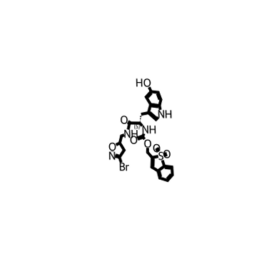 O=C(N[C@@H](Cc1c[nH]c2ccc(O)cc12)C(=O)NCC1CC(Br)=NO1)OCC1=Cc2ccccc2S1(=O)=O